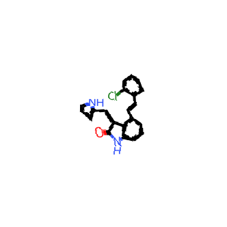 O=C1Nc2cccc(/C=C/c3ccccc3Cl)c2/C1=C/c1ccc[nH]1